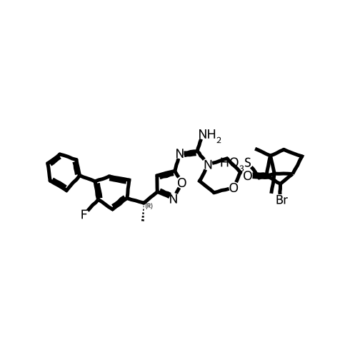 CC12CCC(C(Br)C1=O)C2(C)CS(=O)(=O)O.C[C@H](c1ccc(-c2ccccc2)c(F)c1)c1cc(N=C(N)N2CCOCC2)on1